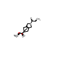 C=CC(=O)N1CC23CN(C(=O)C=C)CC2(C1)CN(C(=O)C=C)C3